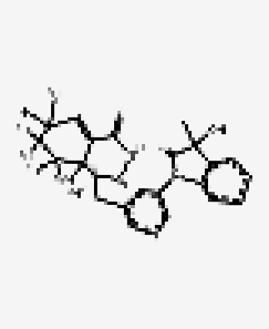 [2H]N1C(=O)C2=CC([2H])([2H])C([2H])([2H])C([2H])([2H])C2([2H])[C@]([2H])(Cc2cncc(N3C(=O)C(C)(O)c4ccccc43)c2)N1[2H]